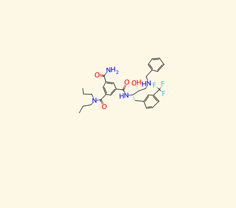 CCCN(CCC)C(=O)c1cc(C(N)=O)cc(C(=O)N[C@@H](Cc2cccc(C(F)(F)F)c2)[C@H](O)CNCc2ccccc2)c1